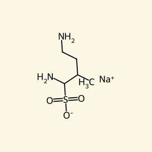 CC(CCN)C(N)S(=O)(=O)[O-].[Na+]